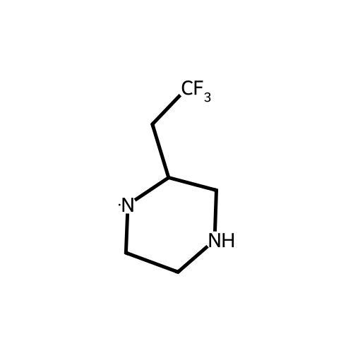 FC(F)(F)CC1CNCC[N]1